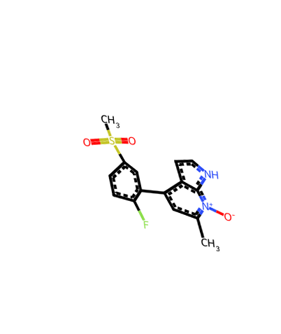 Cc1cc(-c2cc(S(C)(=O)=O)ccc2F)c2cc[nH]c2[n+]1[O-]